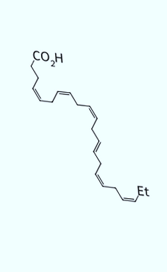 CC/C=C\C/C=C\C/C=C/C/C=C\C/C=C\C/C=C\CCC(=O)O